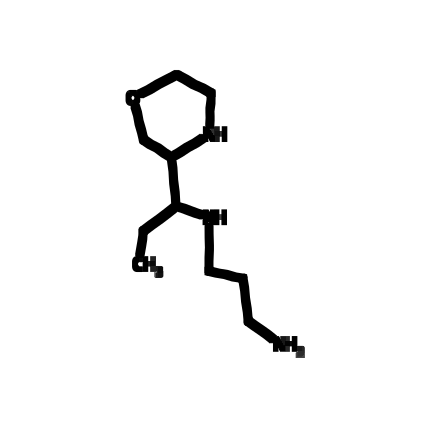 CCC(NCCCN)C1COCCN1